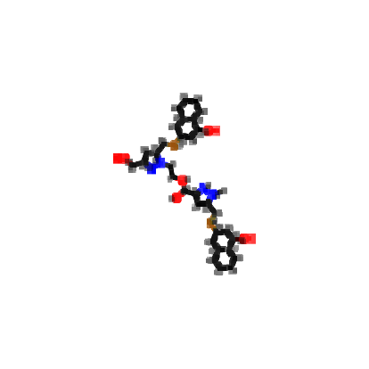 Cn1nc(C(=O)OCCn2nc(CO)cc2CSc2cc(O)c3ccccc3c2)cc1CSc1cc(O)c2ccccc2c1